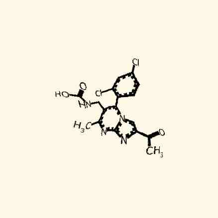 CC(=O)c1cn2c(-c3ccc(Cl)cc3Cl)c(CNC(=O)O)c(C)nc2n1